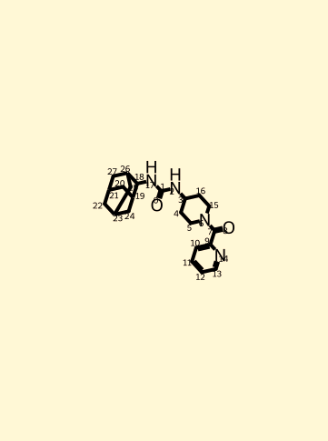 O=C(NC1CCN(C(=O)c2ccccn2)CC1)NC1C2CC3CC(C2)CC1C3